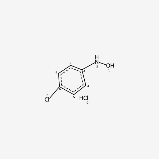 Cl.ONc1ccc(Cl)cc1